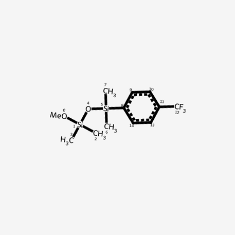 CO[Si](C)(C)O[Si](C)(C)c1ccc(C(F)(F)F)cc1